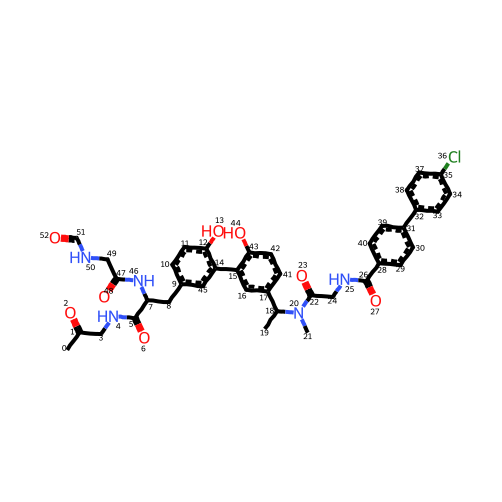 CC(=O)CNC(=O)C(Cc1ccc(O)c(-c2cc(C(C)N(C)C(=O)CNC(=O)c3ccc(-c4ccc(Cl)cc4)cc3)ccc2O)c1)NC(=O)CNC=O